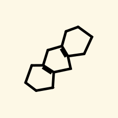 [CH]1CCCC2=C1CC1=C(CCCC1)C2